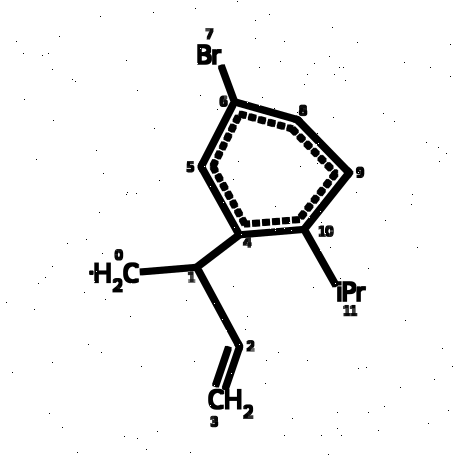 [CH2]C(C=C)c1cc(Br)ccc1C(C)C